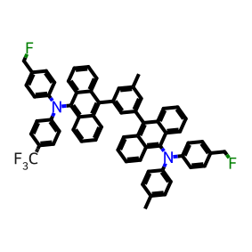 Cc1ccc(N(c2ccc(CF)cc2)c2c3ccccc3c(-c3cc(C)cc(-c4c5ccccc5c(N(c5ccc(CF)cc5)c5ccc(C(F)(F)F)cc5)c5ccccc45)c3)c3ccccc23)cc1